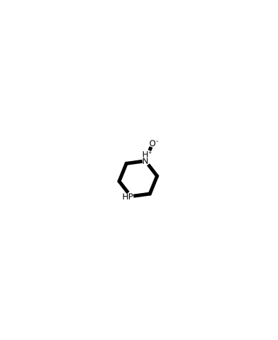 [O-][NH+]1CCPCC1